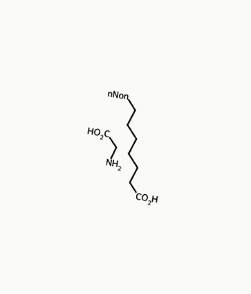 CCCCCCCCCCCCCCCC(=O)O.NCC(=O)O